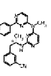 C[C@@H](Cc1cccc(C#N)c1)Nc1nccc(N(C)c2ccnc(-c3ccccc3)n2)n1